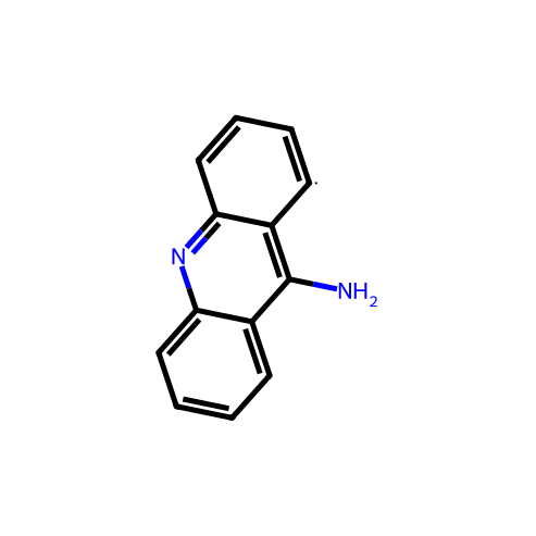 Nc1c2[c]cccc2nc2ccccc12